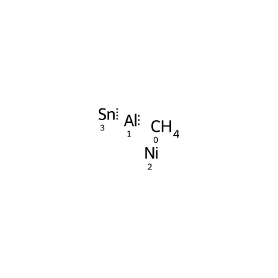 C.[Al].[Ni].[Sn]